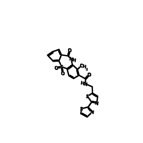 Cc1c(C(=O)NCc2cnc(-c3nccs3)s2)ccc2c1NC(=O)c1ccccc1S2(=O)=O